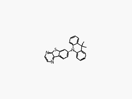 CC1(C)c2ccccc2N(c2ccc3c(c2)sc2nccnc23)c2ccccc21